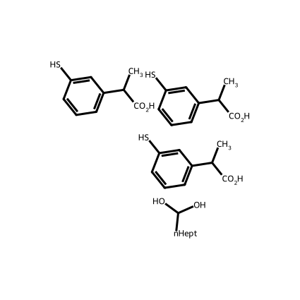 CC(C(=O)O)c1cccc(S)c1.CC(C(=O)O)c1cccc(S)c1.CC(C(=O)O)c1cccc(S)c1.CCCCCCCC(O)O